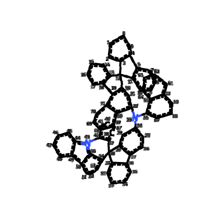 c1ccc2c(c1)-c1ccccc1C21c2ccccc2-c2c1cc(N(c1ccc3c(c1)C1(c4ccccc4-3)c3ccccc3-n3c4ccccc4c4cccc1c43)c1cccc3ccccc13)c1ccccc21